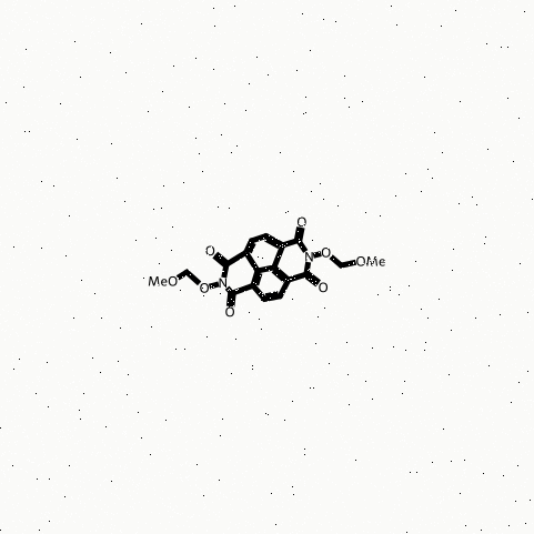 COCON1C(=O)c2ccc3c4c(ccc(c24)C1=O)C(=O)N(OCOC)C3=O